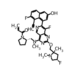 C#Cc1c(F)ccc2cc(O)cc(-c3ncc4c(N(C)C[C@@H]5CCCN5C(=O)C=C)nc(OC[C@]5(C)C[C@@H](F)CN5C)nc4c3F)c12